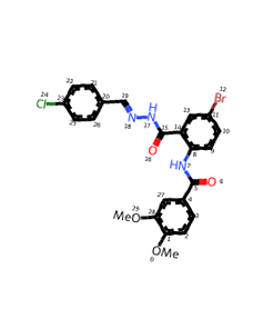 COc1ccc(C(=O)Nc2ccc(Br)cc2C(=O)NN=Cc2ccc(Cl)cc2)cc1OC